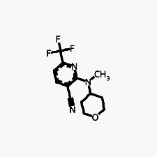 CN(c1nc(C(F)(F)F)ccc1C#N)C1CCOCC1